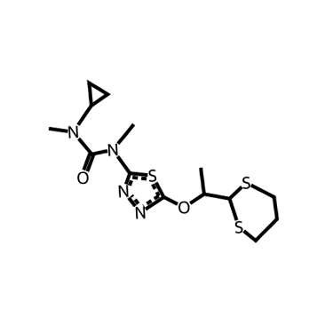 CC(Oc1nnc(N(C)C(=O)N(C)C2CC2)s1)C1SCCCS1